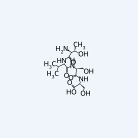 CC(C)[C@H](NC(=O)[C@@H](N)[C@@H](C)O)C(=O)N[C@@H](CO)C(=O)N[C@@H](CO)C(=O)O